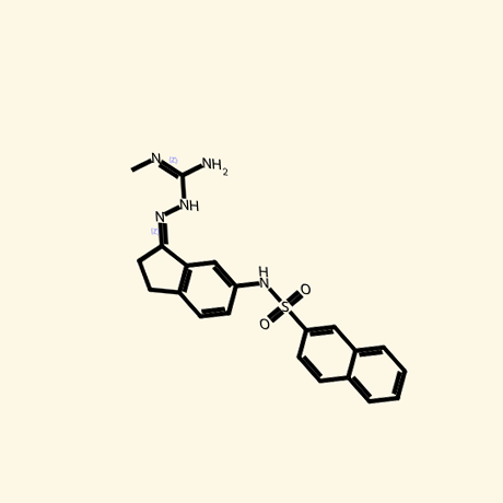 C/N=C(/N)N/N=C1/CCc2ccc(NS(=O)(=O)c3ccc4ccccc4c3)cc21